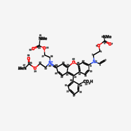 C=CN(CCOC(=O)NC)c1ccc2c(-c3ccccc3C(=O)O)c3ccc(=[N+](CCOC(=O)NC)CCOC(=O)NC)cc-3oc2c1